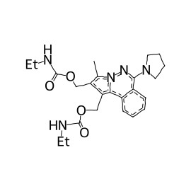 CCNC(=O)OCc1c(COC(=O)NCC)c2c3ccccc3c(N3CCCC3)nn2c1C